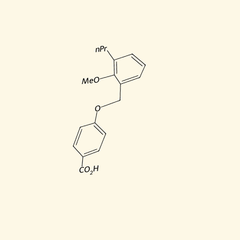 CCCc1cccc(COc2ccc(C(=O)O)cc2)c1OC